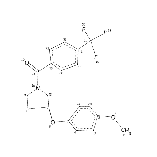 COc1ccc(OC2CCN(C(=O)c3ccc(C(F)(F)F)cc3)C2)cc1